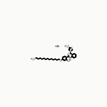 Br.CCCCCCCCCCCCCCOc1ccc(C(=O)Nc2ccccc2CN2C=C(C)SC2)c(Cl)c1